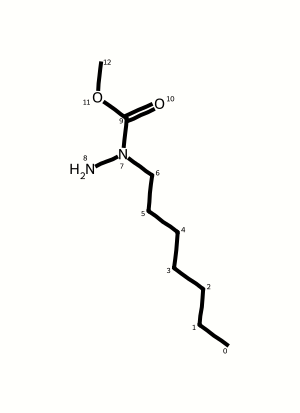 CCCCCCCN(N)C(=O)OC